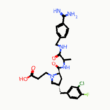 CC(NC(=O)[C@H]1C[C@H](Cc2ccc(F)c(Cl)c2)CN1CCC(=O)O)C(=O)NCc1ccc(C(=N)N)cc1